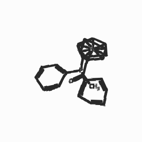 CC(=O)[C]12[CH]3[CH]4[CH]5[CH]1[Fe]45321678[CH]2[CH]1[CH]6[C]7(P(c1ccccc1)c1ccccc1)[CH]28